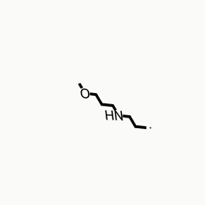 [CH2]CCNCCCOC